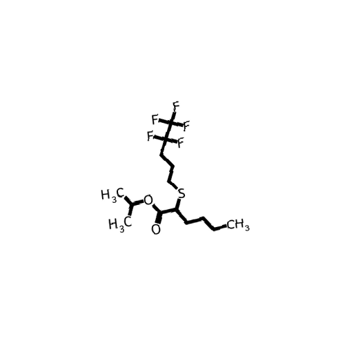 CCCCC(SCCCC(F)(F)C(F)(F)F)C(=O)OC(C)C